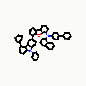 c1ccc(-c2ccc(N(c3cccc4ccccc34)c3cccc4c3oc3c(-c5ccc6c(c5)c5c(-c7ccccc7)cccc5n6-c5ccccc5)cccc34)cc2)cc1